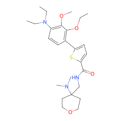 CCOc1c(-c2ccc(C(=O)NCC3(N(C)C)CCOCC3)s2)ccc(N(CC)CC)c1OC